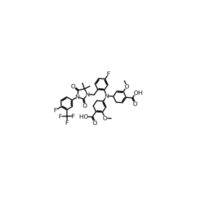 COC1=CC(N(C2=CC(OC)=C(C(=O)O)CC2)c2cc(F)ccc2CN2C(=O)N(c3ccc(F)c(C(F)(F)F)c3)C(=O)C2(C)C)CC=C1C(=O)O